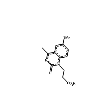 CSc1ccc2c(c1)c(C)nc(=O)n2CCC(=O)O